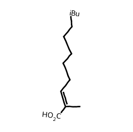 CCC(C)CCCCCC=C(C)C(=O)O